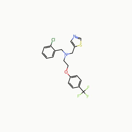 FC(F)(F)c1ccc(OCCN(Cc2cncs2)Cc2ccccc2Cl)cc1